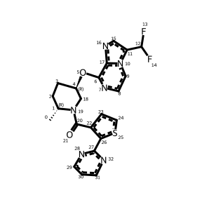 C[C@@H]1CC[C@@H](Oc2nccn3c(C(F)F)cnc23)CN1C(=O)c1ccsc1-c1ncccn1